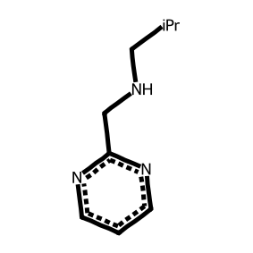 CC(C)CNCc1ncccn1